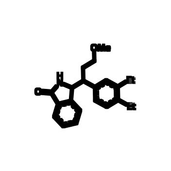 CCc1ccc(C(CCOC)C2NC(=O)c3ccccc32)cc1CC